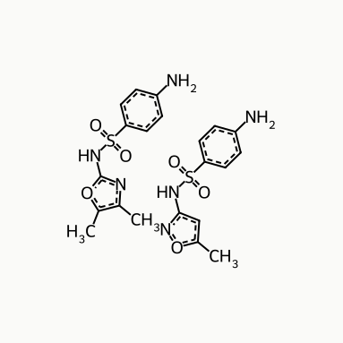 Cc1cc(NS(=O)(=O)c2ccc(N)cc2)no1.Cc1nc(NS(=O)(=O)c2ccc(N)cc2)oc1C